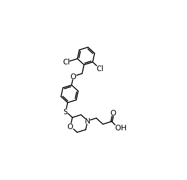 O=C(O)CCN1CCOC(Sc2ccc(OCc3c(Cl)cccc3Cl)cc2)C1